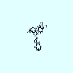 Clc1ccc(C2(CCCOC3CCOCC3)CCCNC2)cc1Cl